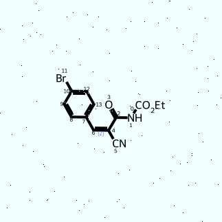 CCOC(=O)NC(=O)/C(C#N)=C\c1ccc(Br)cc1